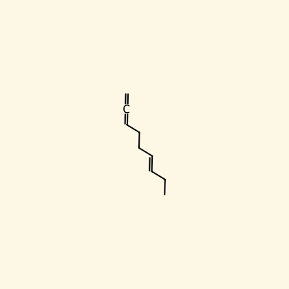 C=C=CCCC=CCC